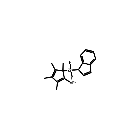 CCCC1=C(C)C(C)=C(C)[C]1(C)[Zr]([F])([F])[CH]1C=Cc2ccccc21